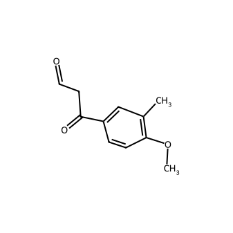 COc1ccc(C(=O)CC=O)cc1C